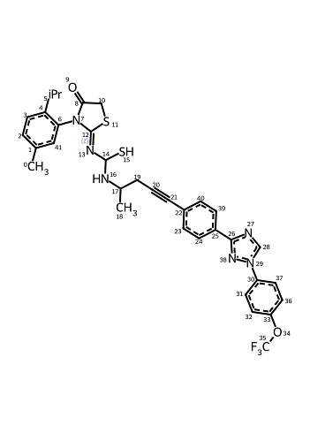 Cc1ccc(C(C)C)c(N2C(=O)CS/C2=N\C(S)NC(C)CC#Cc2ccc(-c3ncn(-c4ccc(OC(F)(F)F)cc4)n3)cc2)c1